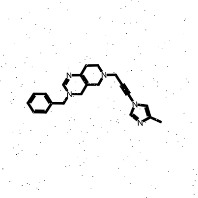 Cc1cn(C#CCN2CCC3=C(CN(Cc4ccccc4)C=N3)C2)cn1